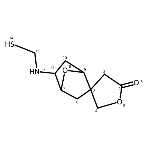 O=C1CC2(CO1)CC1OC2CC1NCS